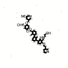 Cc1c(COc2cc(OCc3cncc(C#N)c3)c(C=O)cc2Cl)cccc1-c1cccc(-c2ccc(OCCc3cccnc3)c(CNCCO)c2)c1C